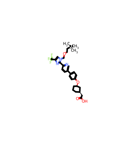 C[Si](C)(C)CCOCn1cc(C(F)(F)F)nc1-c1ccc(-c2ccc(O[C@@H]3CCC[C@H](CC(=O)O)C3)cc2)cn1